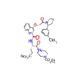 CCOC(=O)N1CCN(C(=O)[C@H](CCC(=O)O)NC(=O)c2cc(OCC(=O)N3CCCC3c3cccc(C)c3)c3ccccc3n2)CC1